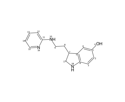 Oc1ccc2c(c1)C(CCNc1ccccn1)CN2